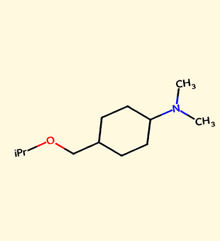 CC(C)OCC1CCC(N(C)C)CC1